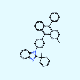 Cc1ccc2c(-c3ccccc3)c3ccccc3c(-c3ccc(-n4c(C5(C)C=CC=CC5)nc5ccccc54)cc3)c2c1